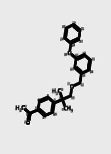 CC(=O)c1ccc(C(C)(C)COCc2cccc(Oc3ccccc3)c2)cc1